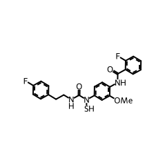 COc1cc(N(S)C(=O)NCCc2ccc(F)cc2)ccc1NC(=O)c1ccccc1F